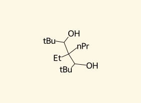 CCCC(CC)(C(O)C(C)(C)C)C(O)C(C)(C)C